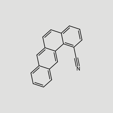 N#Cc1cccc2ccc3cc4ccccc4cc3c12